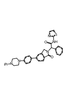 CC(C)N1CCN(c2ccc(-c3ccc4c(c3)CN(C(C(=O)Nc3nccs3)c3ccccc3)C4=O)cc2)CC1